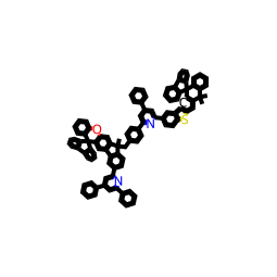 CC1(C)c2ccccc2C2(c3ccccc3-c3ccccc32)c2cc3c(cc21)sc1ccc(-c2cc(-c4ccccc4)cc(-c4ccc(CC5(C)c6ccc(-c7cc(-c8ccccc8)cc(-c8ccccc8)n7)cc6-c6cc7c(cc65)Oc5ccccc5C75c6ccccc6-c6ccccc65)cc4)n2)cc13